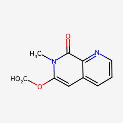 Cn1c(OC(=O)O)cc2cccnc2c1=O